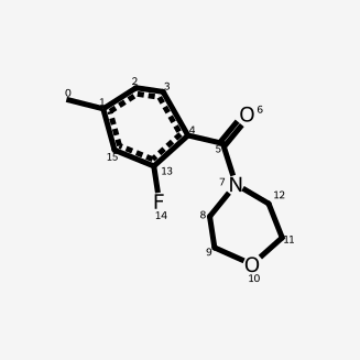 Cc1ccc(C(=O)N2CCOCC2)c(F)c1